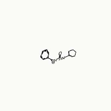 O=C(NC1CCCCC1)N1OC1c1ccccc1